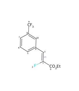 CCOC(=O)/C(F)=C/c1cccc(C(F)(F)F)c1